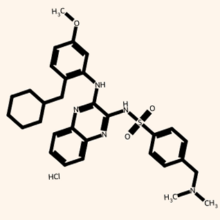 COc1ccc(CC2CCCCC2)c(Nc2nc3ccccc3nc2NS(=O)(=O)c2ccc(CN(C)C)cc2)c1.Cl